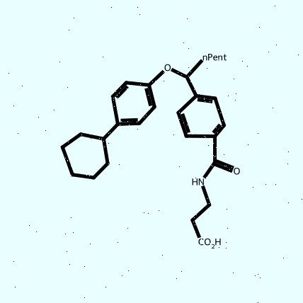 CCCCCC(Oc1ccc(C2CCCCC2)cc1)c1ccc(C(=O)NCCC(=O)O)cc1